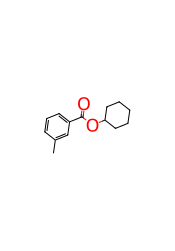 Cc1cccc(C(=O)OC2CCCCC2)c1